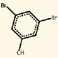 [CH]c1cc(Br)cc(Br)c1